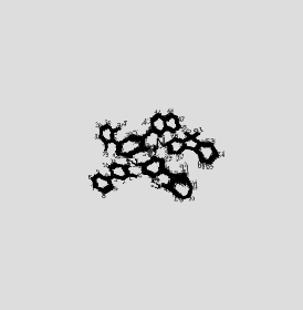 Cc1cc(-c2ccccc2)ccc1N1c2cc3sc4ccccc4c3cc2B2c3c(cc(-c4c(C)cccc4C)cc31)-c1ccc3ccccc3c1N2c1ccc2c(c1)C(C)(C)c1ccccc1-2